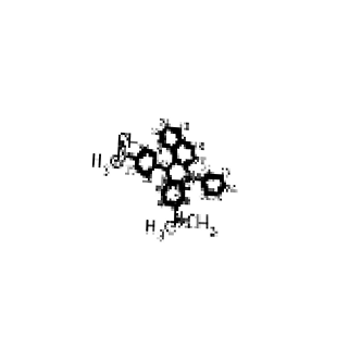 CN(C)c1ccc(C(c2ccc(N(C)C)cc2)c2c(N(C)c3ccccc3)ccc3ccccc23)cc1